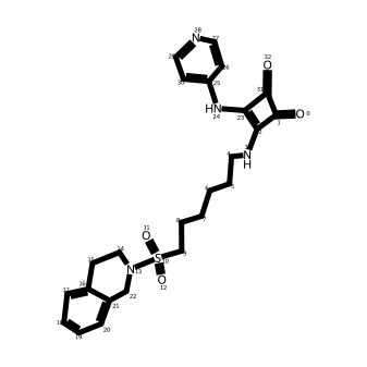 O=c1c(NCCCCCCS(=O)(=O)N2CCc3ccccc3C2)c(Nc2ccncc2)c1=O